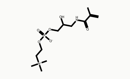 C=C(C)C(=O)NCC(O)COP(=O)([O-])OCC[N+](C)(C)C